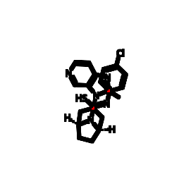 Cc1nc2ccncc2n1[C@H]1C[C@H]2CC[C@@H](C1)N2/C(S)=N/c1ccc(Cl)cc1